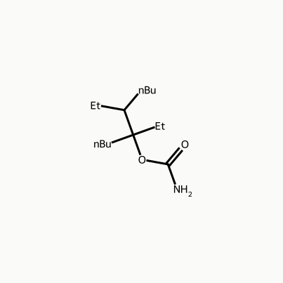 CCCCC(CC)C(CC)(CCCC)OC(N)=O